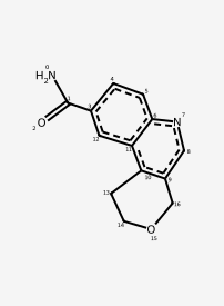 NC(=O)c1ccc2ncc3c(c2c1)CCOC3